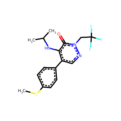 CSc1ccc(-c2cnn(CC(F)(F)F)c(=O)c2NC(C)C)cc1